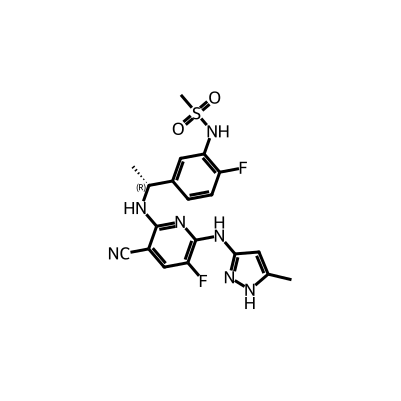 Cc1cc(Nc2nc(N[C@H](C)c3ccc(F)c(NS(C)(=O)=O)c3)c(C#N)cc2F)n[nH]1